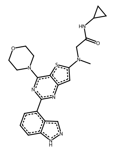 CN(CC(=O)NC1CC1)c1cc2nc(-c3cccc4[nH]ncc34)nc(N3CCOCC3)c2s1